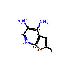 Cc1cc2c(N)c(N)cnc2s1